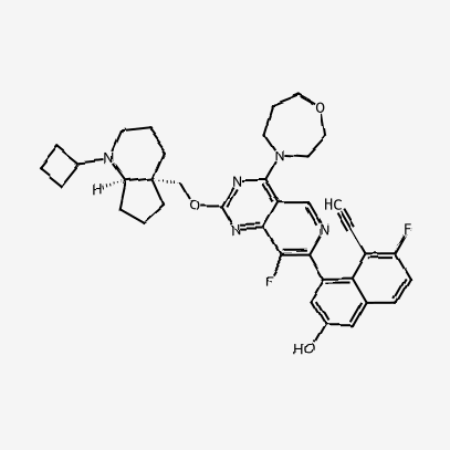 C#Cc1c(F)ccc2cc(O)cc(-c3ncc4c(N5CCCOCC5)nc(OC[C@]56CCC[C@H]5N(C5CCC5)CCC6)nc4c3F)c12